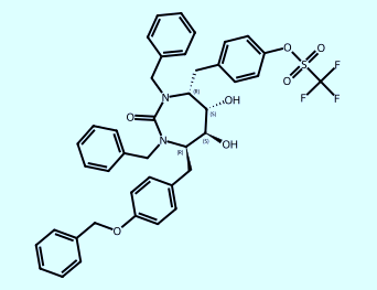 O=C1N(Cc2ccccc2)[C@H](Cc2ccc(OCc3ccccc3)cc2)[C@H](O)[C@@H](O)[C@@H](Cc2ccc(OS(=O)(=O)C(F)(F)F)cc2)N1Cc1ccccc1